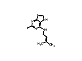 CC(C)=CCNc1nc(I)nc2nc[nH]c12